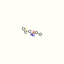 c1ccc(-c2ccc3oc4c(-c5cccc(-c6cccc7c6sc6ccccc67)c5)ncnc4c3c2)cc1